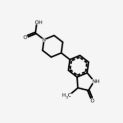 CC1C(=O)Nc2ccc(C3CCN(C(=O)O)CC3)cc21